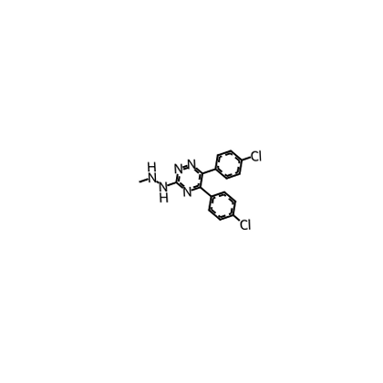 CNNc1nnc(-c2ccc(Cl)cc2)c(-c2ccc(Cl)cc2)n1